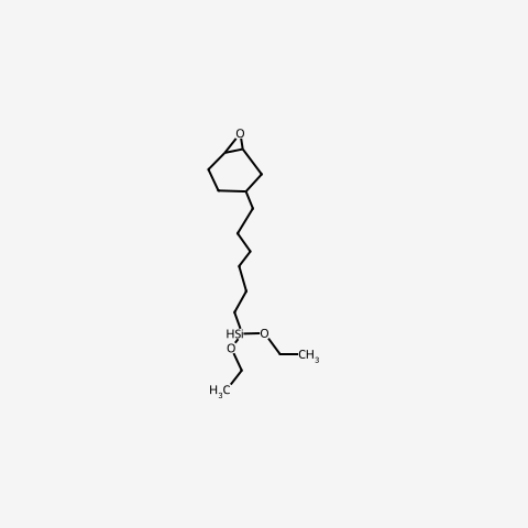 CCO[SiH](CCCCCCC1CCC2OC2C1)OCC